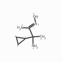 CC(N)(/C(N)=N/O)C1CC1